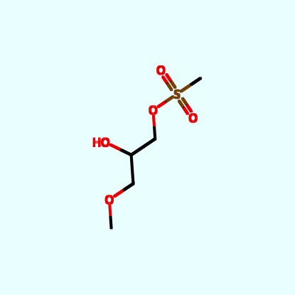 COCC(O)COS(C)(=O)=O